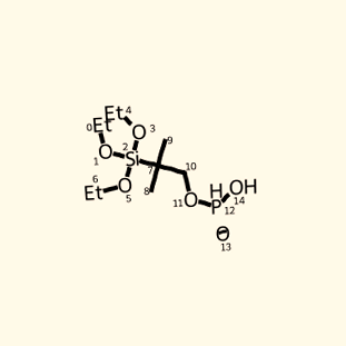 CCO[Si](OCC)(OCC)C(C)(C)CO[PH](=O)O